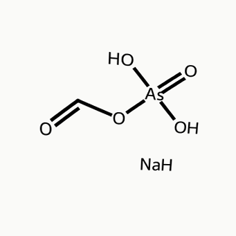 O=CO[As](=O)(O)O.[NaH]